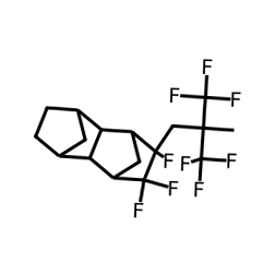 CC(CC1(F)C2CC(C3C4CCC(C4)C32)C1(F)F)(C(F)(F)F)C(F)(F)F